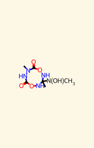 CN1NC(=O)ONC(C)(N(C)O)NOC1=O